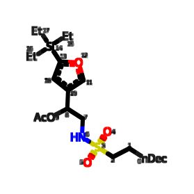 CCCCCCCCCCCCS(=O)(=O)NCC(OC(C)=O)c1coc([Si](CC)(CC)CC)c1